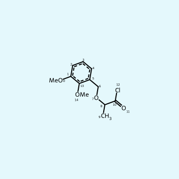 COc1cccc(COC(C)C(=O)Cl)c1OC